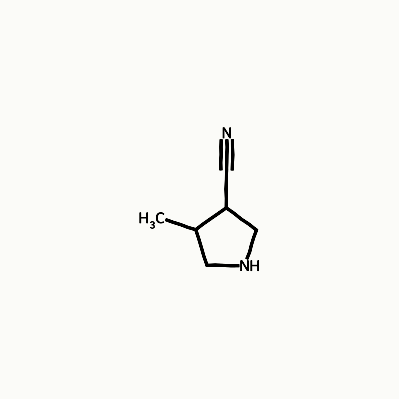 CC1CNCC1C#N